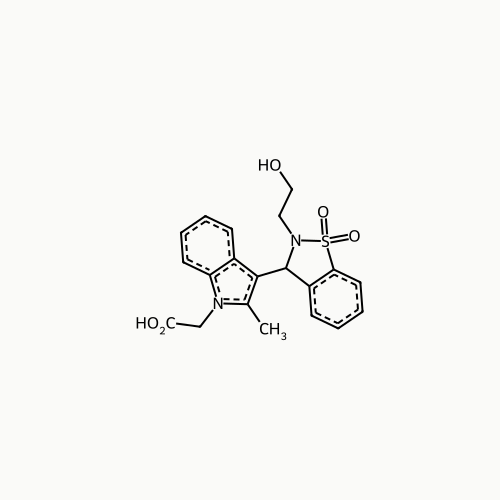 Cc1c(C2c3ccccc3S(=O)(=O)N2CCO)c2ccccc2n1CC(=O)O